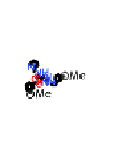 COc1cccc(COc2nc(N3CCc4cc(OC)ccc43)ncc2C(=O)NCc2ccccn2)c1